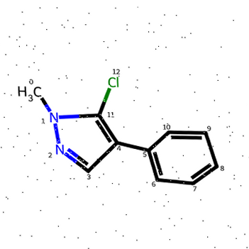 Cn1ncc(-c2ccccc2)c1Cl